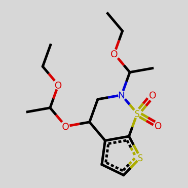 CCOC(C)OC1CN(C(C)OCC)S(=O)(=O)c2sccc21